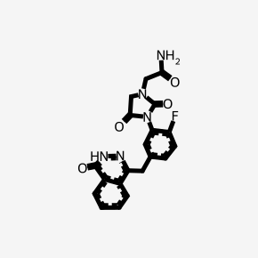 NC(=O)CN1CC(=O)N(c2cc(Cc3n[nH]c(=O)c4ccccc34)ccc2F)C1=O